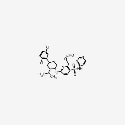 CN(C)[C@H]1C[C@@H](c2cc(Cl)ccc2Cl)CC[C@@H]1Oc1ccc(S(=O)(=O)Nc2ccncn2)c(COC=O)n1